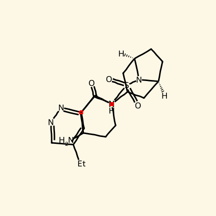 CCc1cnnc(C(=O)NC2C[C@H]3CC[C@@H](C2)N3S(=O)(=O)N2CCC(N)CC2)c1